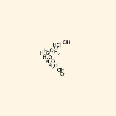 Cl.Cl.Cl.O.O.O.O.O.O.[Cr]